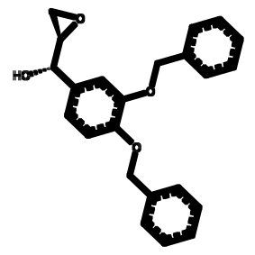 O[C@@H](c1ccc(OCc2ccccc2)c(OCc2ccccc2)c1)[C@H]1CO1